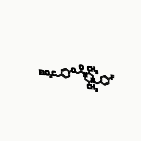 CCOC(=O)Cc1ccc(OCC(=O)N2CC(C)N(Cc3ccc(F)cc3)CC2C)cc1